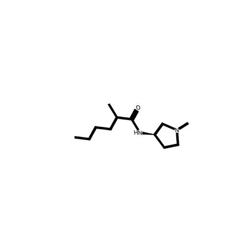 CCCCC(C)C(=O)N[C@@H]1CCN(C)C1